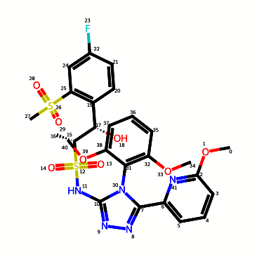 COc1cccc(-c2nnc(NS(=O)(=O)[C@H](C)[C@@H](O)c3ccc(F)cc3S(C)(=O)=O)n2-c2c(OC)cccc2OC)n1